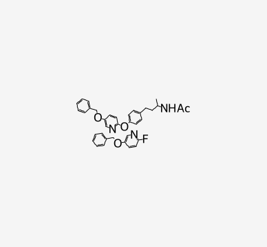 CC(=O)NC(C)CCc1ccc(Oc2ccc(OCc3ccccc3)cn2)cc1.Fc1ccc(OCc2ccccc2)cn1